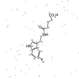 O=C(O)CCCC(=O)NCCc1c[nH]c2ccc(F)cc12